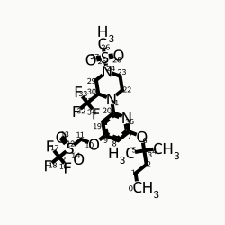 CCCC(C)(C)Oc1cc(OCS(=O)(=O)C(F)(F)F)cc(N2CCN(S(C)(=O)=O)CC2C(F)(F)F)n1